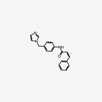 O=C(/C=C\c1ccccc1)Nc1ccc(Cn2ccnc2)cc1